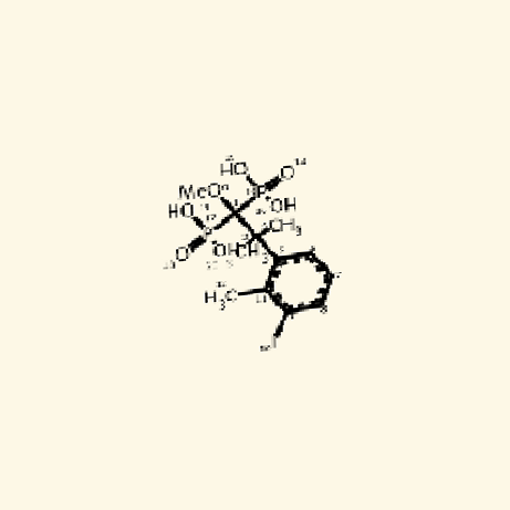 COC(C(C)(C)c1cccc(I)c1C)(P(=O)(O)O)P(=O)(O)O